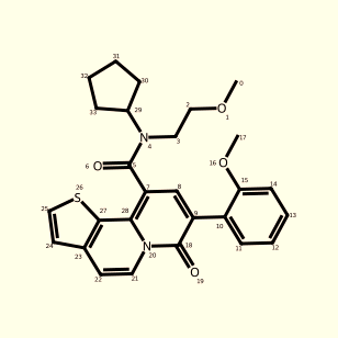 COCCN(C(=O)c1cc(-c2ccccc2OC)c(=O)n2ccc3ccsc3c12)C1CCCC1